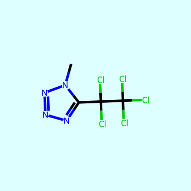 Cn1nnnc1C(Cl)(Cl)C(Cl)(Cl)Cl